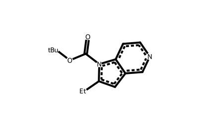 CCc1cc2cnccc2n1C(=O)OC(C)(C)C